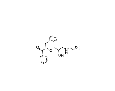 O=C(c1ccccc1)C(Cc1ccsc1)OCC(O)CNCCO